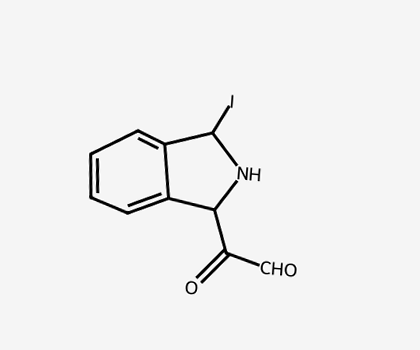 O=CC(=O)C1NC(I)c2ccccc21